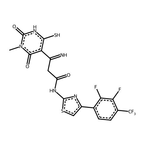 Cn1c(=O)[nH]c(S)c(C(=N)CC(=O)Nc2nc(-c3ccc(C(F)(F)F)c(F)c3F)cs2)c1=O